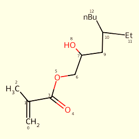 C=C(C)C(=O)OCC(O)CC(CC)CCCC